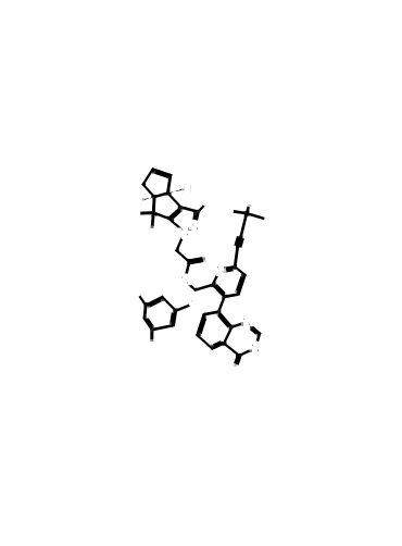 CC(C)(O)C#Cc1ccc(-c2cccc3c(=O)[nH]cnc23)c([C@H](Cc2cc(F)cc(F)c2)NC(=O)Cn2nc(C(F)(F)F)c3c2C(F)(F)[C@@H]2CC=C[C@H]32)n1